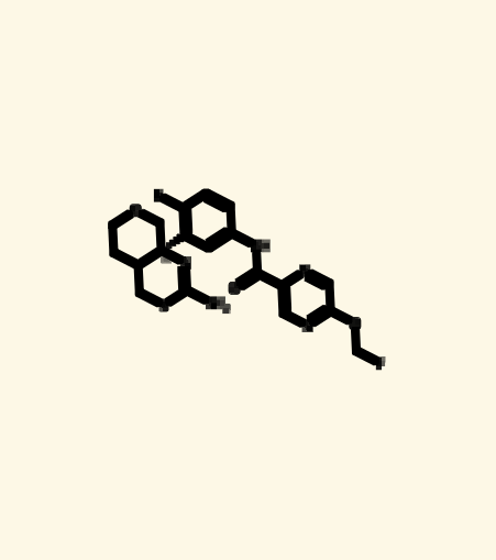 NC1=N[C@]2(c3cc(NC(=O)c4cnc(OCF)cn4)ccc3F)COCCC2CS1